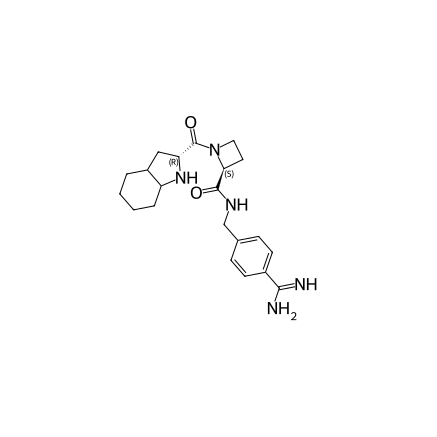 N=C(N)c1ccc(CNC(=O)[C@@H]2CCN2C(=O)[C@H]2CC3CCCCC3N2)cc1